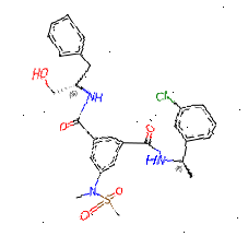 C[C@@H](NC(=O)c1cc(C(=O)N[C@H](CO)Cc2ccccc2)cc(N(C)S(C)(=O)=O)c1)c1cccc(Cl)c1